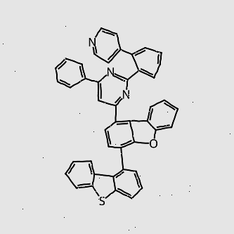 c1ccc(-c2cc(-c3ccc(-c4cccc5sc6ccccc6c45)c4oc5ccccc5c34)nc(-c3ccccc3-c3ccncc3)n2)cc1